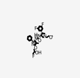 COCCN1C[C@@H](NC(=O)Nc2c(C)c(OC[C@H](O)CF)nn2-c2ccccc2)[C@H](c2cc(F)cc(F)c2)C1